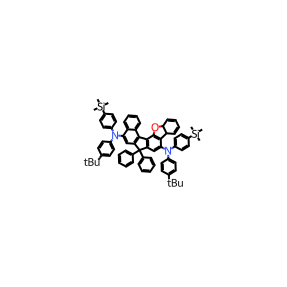 CC(C)(C)c1ccc(N(c2ccc([Si](C)(C)C)cc2)c2cc3c(c4c2C2C=CC=CC2O4)-c2c(cc(N(c4ccc(C(C)(C)C)cc4)c4ccc([Si](C)(C)C)cc4)c4ccccc24)C3(c2ccccc2)c2ccccc2)cc1